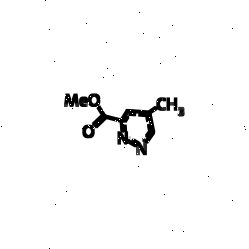 COC(=O)c1cc(C)cnn1